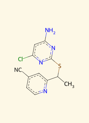 CC(Sc1nc(N)cc(Cl)n1)c1cc(C#N)ccn1